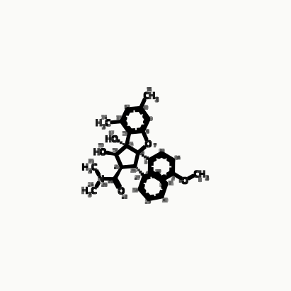 COc1ccc([C@@]23Oc4cc(C)cc(C)c4[C@]2(O)[C@H](O)[C@H](C(=O)N(C)C)[C@H]3c2ccccc2)cc1